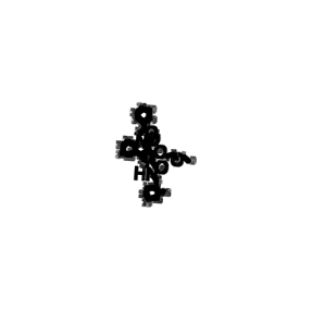 CCOCCOc1c(C(=O)NCc2ccccc2C)sc2c1c(=O)n(CC(=O)c1ccccc1)c1ccccc21